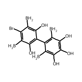 Bc1c(O)c(-c2c(B)c(O)c(O)c(O)c2B)c(O)c(B)c1Br